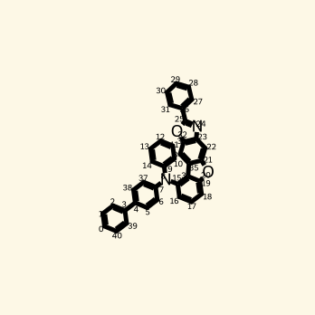 c1ccc(-c2ccc(N(c3ccccc3)c3cccc4oc5cc6nc(-c7ccccc7)oc6cc5c34)cc2)cc1